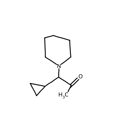 CC(=O)C(C1CC1)N1CCCCC1